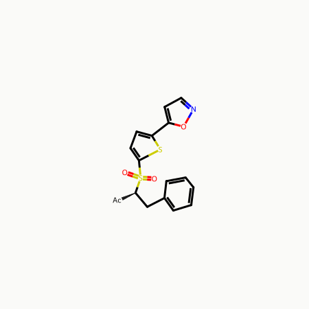 CC(=O)[C@H](Cc1ccccc1)S(=O)(=O)c1ccc(-c2ccno2)s1